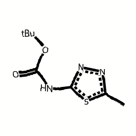 Cc1nnc(NC(=O)OC(C)(C)C)s1